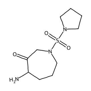 NC1CCCN(S(=O)(=O)N2CCCC2)CC1=O